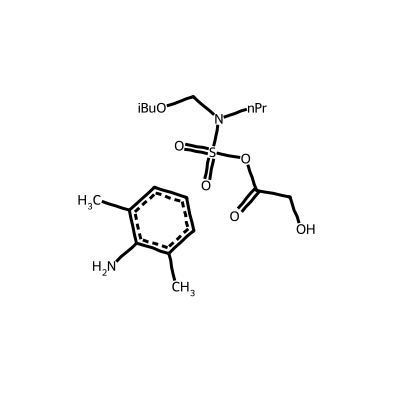 CCCN(COCC(C)C)S(=O)(=O)OC(=O)CO.Cc1cccc(C)c1N